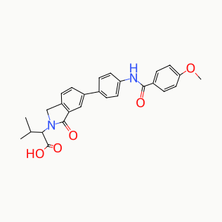 COc1ccc(C(=O)Nc2ccc(-c3ccc4c(c3)C(=O)N(C(C(=O)O)C(C)C)C4)cc2)cc1